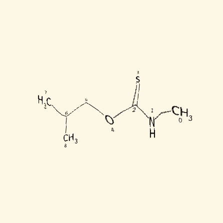 CNC(=S)OCC(C)C